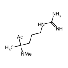 CN[C@@](C)(CCCNC(=N)N)C(C)=O